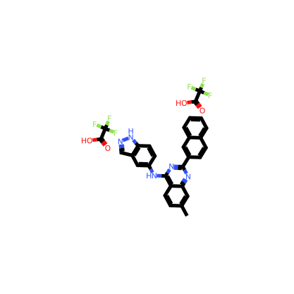 Cc1ccc2c(Nc3ccc4[nH]ncc4c3)nc(-c3ccc4ccccc4c3)nc2c1.O=C(O)C(F)(F)F.O=C(O)C(F)(F)F